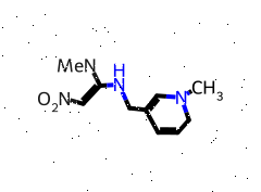 CNC(=C[N+](=O)[O-])NCC1=CN(C)CC=C1